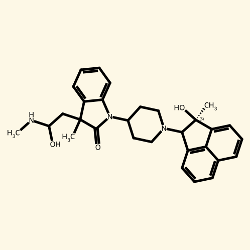 CNC(O)CC1(C)C(=O)N(C2CCN(C3c4cccc5cccc(c45)[C@]3(C)O)CC2)c2ccccc21